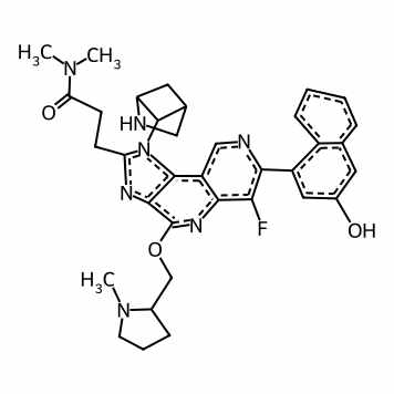 CN(C)C(=O)CCc1nc2c(OCC3CCCN3C)nc3c(F)c(-c4cc(O)cc5ccccc45)ncc3c2n1C1C2CNC1C2